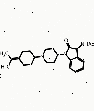 CC(=O)NC1C(=O)N(C2CCN(C3CCC(=C(C)C)CC3)CC2)c2ccccc21